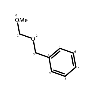 CO[CH]OCc1ccccc1